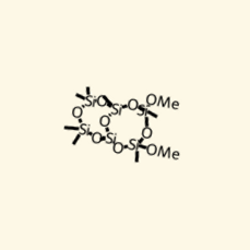 CO[Si]1(C)O[Si](C)(OC)O[Si]2(C)O[Si](C)(C)O[Si](C)(C)O[Si](C)(O1)O2